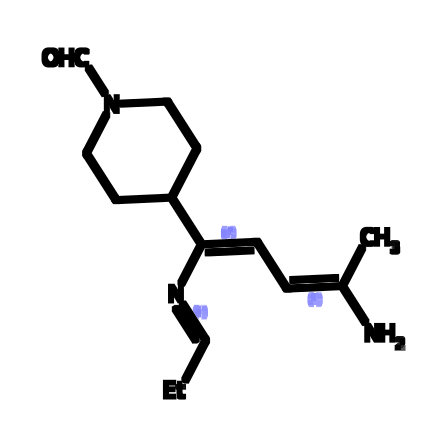 CC/C=N/C(=C\C=C(/C)N)C1CCN(C=O)CC1